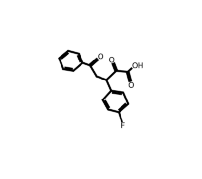 O=C(O)C(=O)C(CC(=O)c1ccccc1)c1ccc(F)cc1